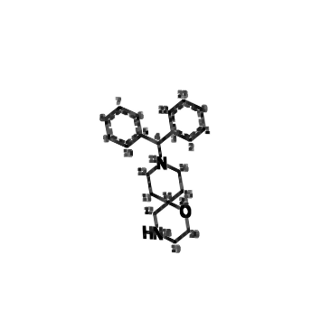 c1ccc(C(c2ccccc2)N2CCC3(CC2)CNCCO3)cc1